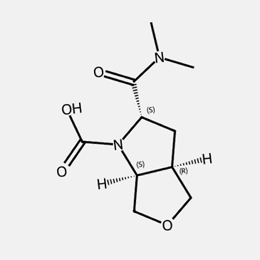 CN(C)C(=O)[C@@H]1C[C@H]2COC[C@H]2N1C(=O)O